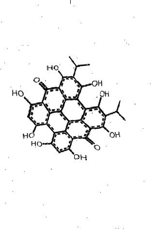 CC(C)c1c(O)c2c(=O)c3c(O)cc(O)c4c5c(O)cc(O)c6c(=O)c7c(O)c(C(C)C)c(O)c8c(c1O)c2c(c34)c(c65)c78